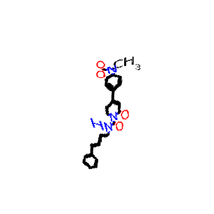 Cn1c(=O)oc2cc(C3CCN(C(=O)NCCCCc4ccccc4)C(=O)C3)ccc21